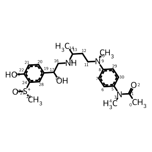 CC(=O)N(C)c1ccc(N(C)CCC(C)NCC(O)c2ccc(O)c([S+](C)[O-])c2)cc1